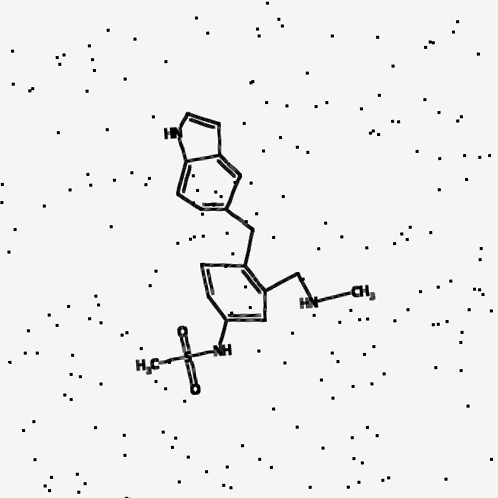 CNCc1cc(NS(C)(=O)=O)ccc1Cc1ccc2[nH]ccc2c1